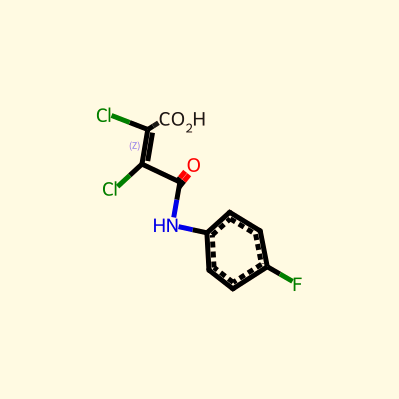 O=C(O)/C(Cl)=C(/Cl)C(=O)Nc1ccc(F)cc1